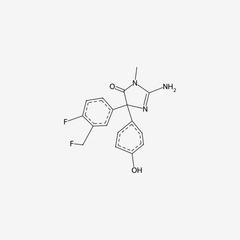 CN1C(=O)C(c2ccc(O)cc2)(c2ccc(F)c(CF)c2)N=C1N